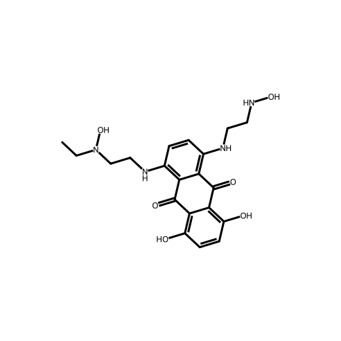 CCN(O)CCNc1ccc(NCCNO)c2c1C(=O)c1c(O)ccc(O)c1C2=O